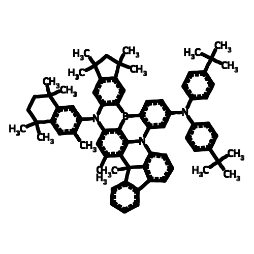 Cc1cc2c(cc1N1c3cc4c(cc3B3c5ccc(N(c6ccc(C(C)(C)C)cc6)c6ccc(C(C)(C)C)cc6)cc5N5c6cccc7c6C(C)(c6ccccc6-7)c6c(C)cc1c3c65)C(C)(C)CC4(C)C)C(C)(C)CCC2(C)C